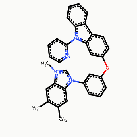 Cc1cc2c(cc1C)[n+](C)cn2-c1cccc(Oc2ccc3c4ccccc4n(-c4ccccn4)c3c2)c1